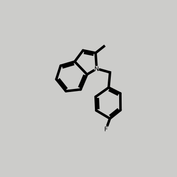 Cc1cc2ccccc2n1Cc1ccc(F)cc1